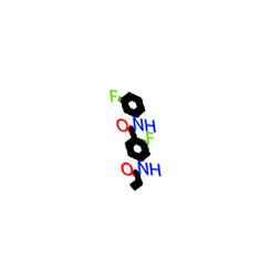 C=CC(=O)Nc1ccc(C(=O)Nc2cccc(F)c2)c(F)c1